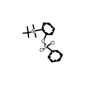 CC(C)(C)[Si](C)(C)c1ccccc1O[Si](Cl)(Cl)c1ccccc1